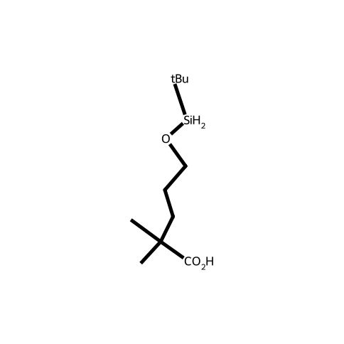 CC(C)(C)[SiH2]OCCCC(C)(C)C(=O)O